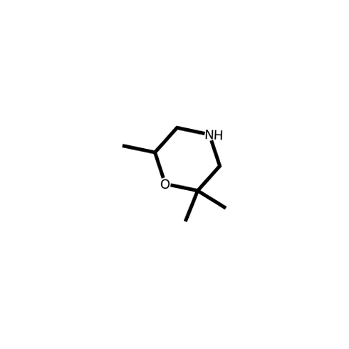 CC1CNCC(C)(C)O1